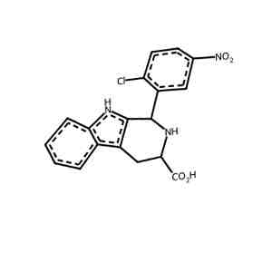 O=C(O)C1Cc2c([nH]c3ccccc23)C(c2cc([N+](=O)[O-])ccc2Cl)N1